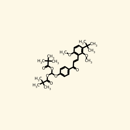 COc1ccc(C(C)(C)C)c(OC)c1C=CC(=O)c1ccc(OC(OC(=O)C(C)(C)C)OC(=O)C(C)(C)C)cc1